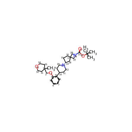 CC1(COc2ccccc2C2CCN([C@@H]3CCC4(C3)CN(C(=O)OC(C)(C)C)C4)CC2)CCOCC1